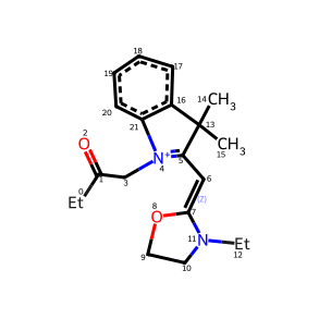 CCC(=O)C[N+]1=C(/C=C2\OCCN2CC)C(C)(C)c2ccccc21